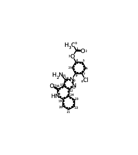 CC(=O)Oc1ccc(Cl)c(-n2nc3c(c2N)c(=O)[nH]c2ccccc23)c1